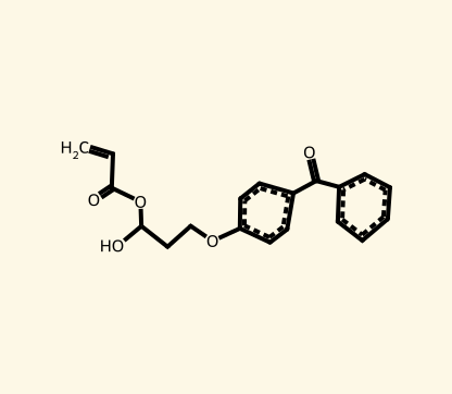 C=CC(=O)OC(O)CCOc1ccc(C(=O)c2ccccc2)cc1